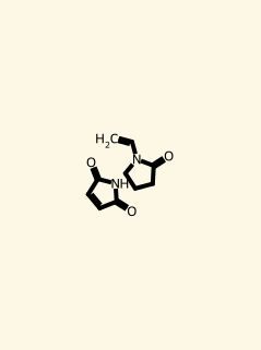 C=CN1CCCC1=O.O=C1C=CC(=O)N1